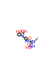 CCCCN1C[C@H](C(=O)NO)[C@H](NC(=O)c2ccc(CN3CC(C)(C)S(O)(O)c4ccccc43)cc2)C1